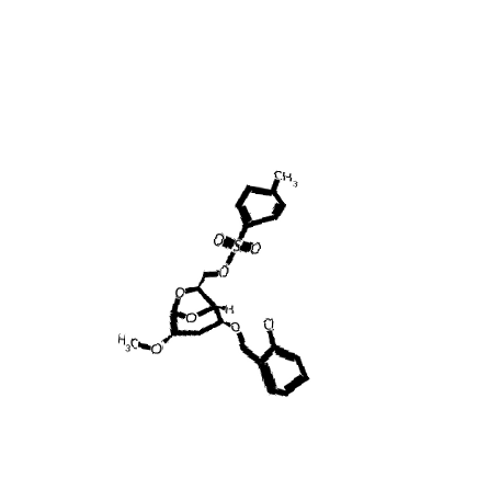 CO[C@@H]1C[C@H](OCc2ccccc2Cl)[C@@H]2OC1O[C@H]2COS(=O)(=O)c1ccc(C)cc1